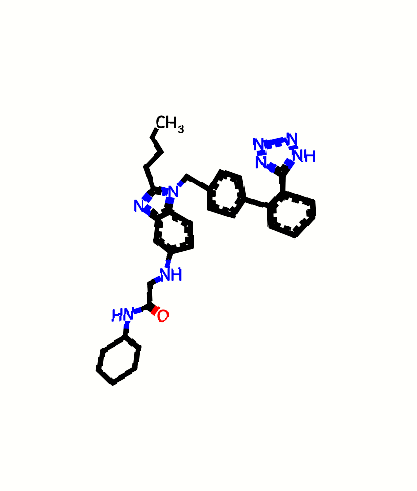 CCCCc1nc2cc(NCC(=O)NC3CCCCC3)ccc2n1Cc1ccc(-c2ccccc2-c2nnn[nH]2)cc1